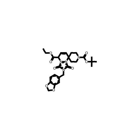 CCOC(=O)C1C=CC2(CCN(C(=O)OC(C)(C)C)CC2)n2c(=O)n(Cc3ccc4c(c3)OCO4)c(=O)n21